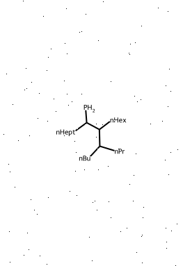 CCCCCCCC(P)C(CCCCCC)C(CCC)CCCC